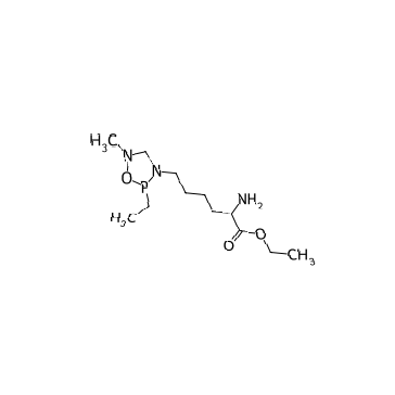 CCOC(=O)C(N)CCCCN1CN(C)OP1CC